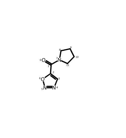 O=C(c1cnno1)N1CCCC1